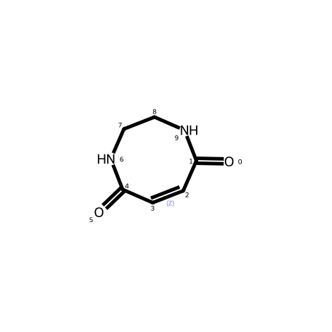 O=C1/C=C\C(=O)NCCN1